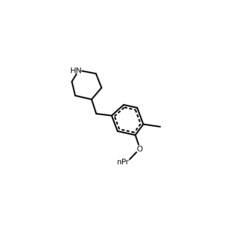 CCCOc1cc(CC2CCNCC2)ccc1C